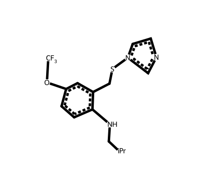 CC(C)CNc1ccc(OC(F)(F)F)cc1CSn1ccnc1